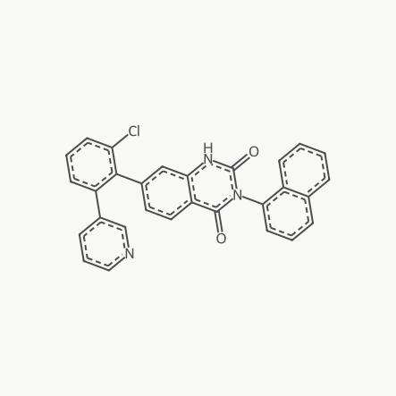 O=c1[nH]c2cc(-c3c(Cl)cccc3-c3cccnc3)ccc2c(=O)n1-c1cccc2ccccc12